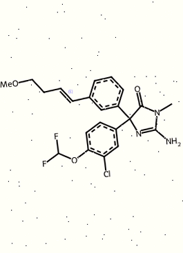 COCC/C=C/c1cccc(C2(c3ccc(OC(F)F)c(Cl)c3)N=C(N)N(C)C2=O)c1